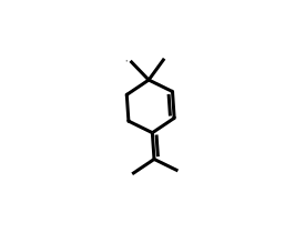 [CH2]C1(C)C=CC(=C(C)C)CC1